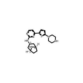 c1cc(-c2ccc(N3CCNCC3)s2)nc(N[C@H]2C[C@H]3CC[C@@H](C2)N3)n1